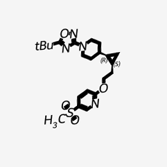 CC(C)(C)c1nc(N2CCC([C@H]3C[C@H]3CCOc3ccc(S(C)(=O)=O)cn3)CC2)no1